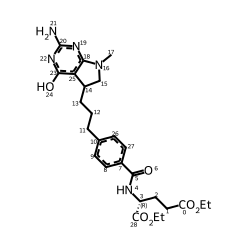 CCOC(=O)CC[C@@H](NC(=O)c1ccc(CCCC2CN(C)c3nc(N)nc(O)c32)cc1)C(=O)OCC